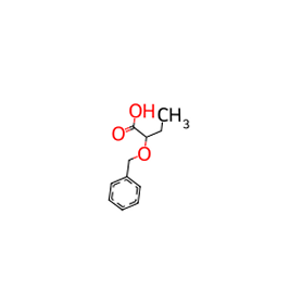 CCC(OCc1ccccc1)C(=O)O